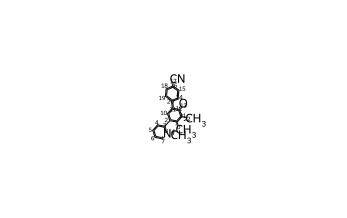 Cc1c(-c2cccc[n+]2C)cc2c(oc3cc(C#N)ccc32)c1C